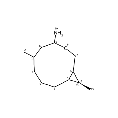 CC1CCCC2C(CCC(N)C1)[C@H]2C